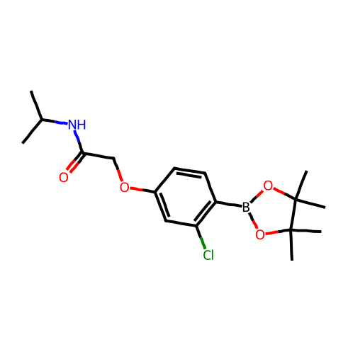 CC(C)NC(=O)COc1ccc(B2OC(C)(C)C(C)(C)O2)c(Cl)c1